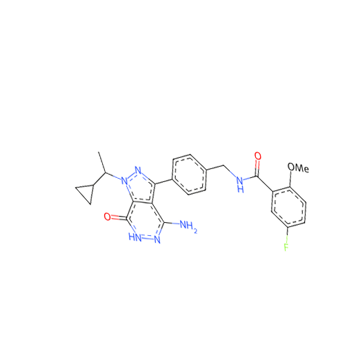 COc1ccc(F)cc1C(=O)NCc1ccc(-c2nn(C(C)C3CC3)c3c(=O)[nH]nc(N)c23)cc1